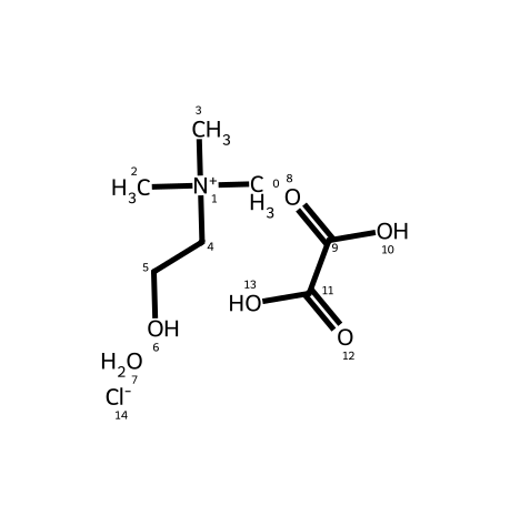 C[N+](C)(C)CCO.O.O=C(O)C(=O)O.[Cl-]